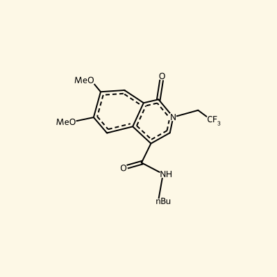 CCCCNC(=O)c1cn(CC(F)(F)F)c(=O)c2cc(OC)c(OC)cc12